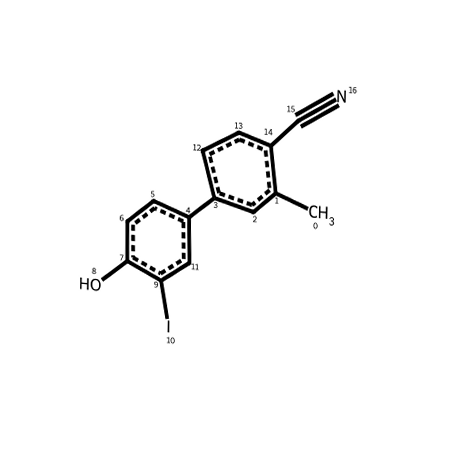 Cc1cc(-c2ccc(O)c(I)c2)ccc1C#N